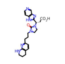 O=C(O)C[C@@H](c1nc2cnccc2[nH]1)N1CCN(CCCc2ccc3c(n2)NCCC3)C1=O